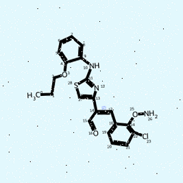 CCCOc1ccccc1Nc1nc(/C(C=O)=C/c2cccc(Cl)c2ON)cs1